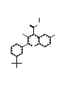 COC(=O)c1c(C)c(-c2cccc(C(F)(F)F)c2)nc2ccc(Br)cc12